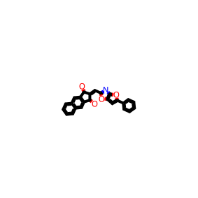 O=C1C(=Cc2nc3oc(-c4ccccc4)cc3o2)C(=O)c2cc3ccccc3cc21